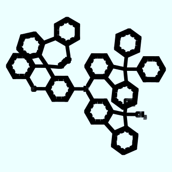 CC1(C)c2ccccc2-c2ccc(N(c3ccc4c(c3)C3(c5ccccc5O4)c4ccccc4-c4ccccc4-c4ccccc43)c3cccc4c3-c3ccccc3C4(c3ccccc3)c3ccccc3)cc21